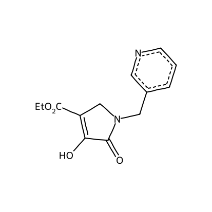 CCOC(=O)C1=C(O)C(=O)N(Cc2cccnc2)C1